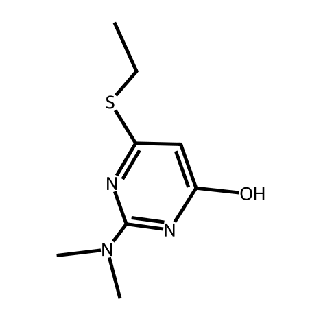 CCSc1cc(O)nc(N(C)C)n1